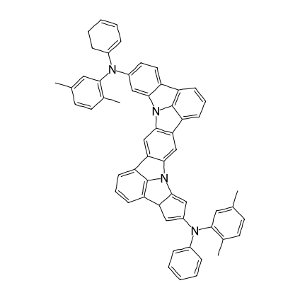 Cc1ccc(C)c(N(C2=CC3C(=C2)n2c4cc5c6cccc7c8ccc(N(C9=CC=CCC9)c9cc(C)ccc9C)cc8n(c5cc4c4cccc3c42)c76)c2ccccc2)c1